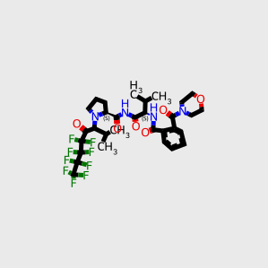 CC(C)C(C(=O)C(F)(F)C(F)(F)C(F)(F)C(F)(F)F)N1CCC[C@H]1C(=O)NC(=O)[C@@H](NC(=O)c1ccccc1C(=O)N1CCOCC1)C(C)C